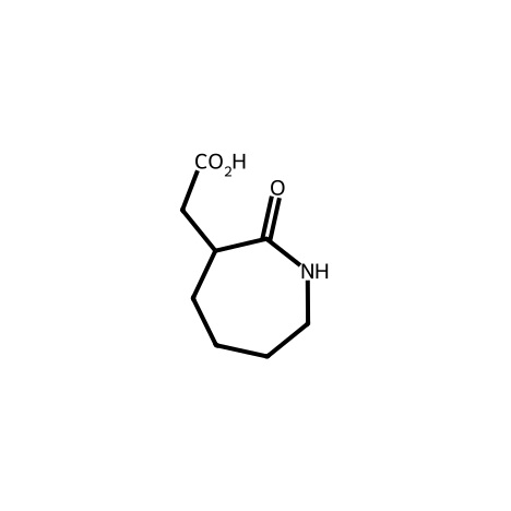 O=C(O)CC1CCCCNC1=O